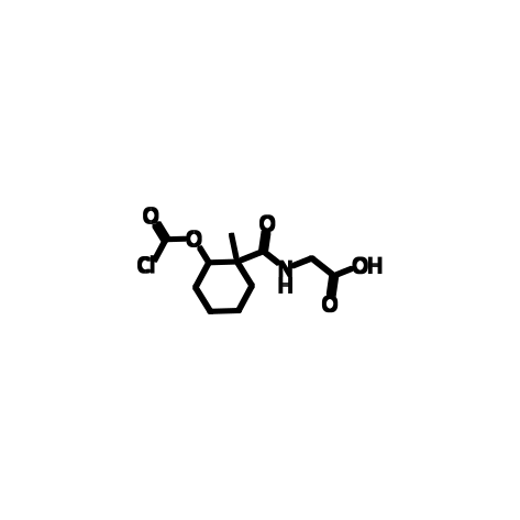 CC1(C(=O)NCC(=O)O)CCCCC1OC(=O)Cl